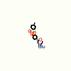 Cc1ccc(S(=O)(=O)Oc2ccc([C@H]3CN(C(C)(C)C)CCO3)cc2)cc1